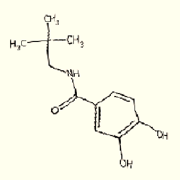 CC(C)(C)CNC(=O)c1ccc(O)c(O)c1